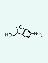 O=[N+]([O-])c1ccc2c(CO)noc2c1